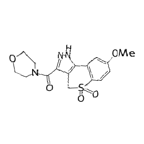 COc1ccc2c(c1)-c1[nH]nc(C(=O)N3CCOCC3)c1CS2(=O)=O